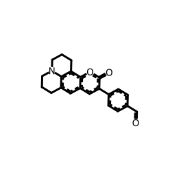 O=Cc1ccc(-c2cc3cc4c5c(c3oc2=O)CCCN5CCC4)cc1